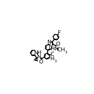 CNC(=O)c1c(C2=CC=C(F)CC2)nc2ccc(-c3cc(C(=O)NC4(c5ccccn5)CC4)ccc3C)cn12